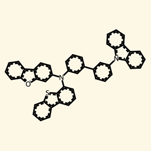 c1cc(-c2cccc(-n3c4ccccc4c4ccccc43)c2)cc(N(c2ccc3c(c2)oc2ccccc23)c2cccc3c2sc2ccccc23)c1